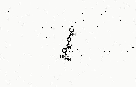 C[C@@H](C#N)NC(=O)c1cccc(-c2cc(-c3ccc(CNC4CCOCC4)cc3)on2)c1